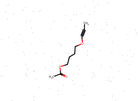 CC#COCCCCOC(C)=O